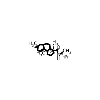 CC(C)[C@@H](C)NC(=O)[C@]1(C)CCC[C@@]2(C)C3=CC[C@](C)(I)CC3CCC12